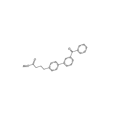 COC(=O)CCCc1ccc(-c2cccc(C(=O)c3ccccc3)c2)cc1